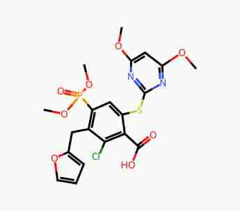 COc1cc(OC)nc(Sc2cc(P(=O)(OC)OC)c(Cc3ccco3)c(Cl)c2C(=O)O)n1